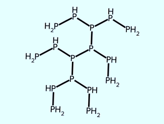 PPP(PP)P(PP)P(PP)P(PP)PP